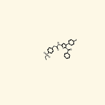 CCS(=O)(=O)c1ccc(CC(=O)Nc2cc(-c3ccc(F)cc3)c(C(=O)c3ccccc3)s2)cc1